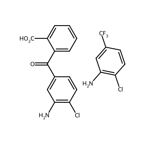 Nc1cc(C(=O)c2ccccc2C(=O)O)ccc1Cl.Nc1cc(C(F)(F)F)ccc1Cl